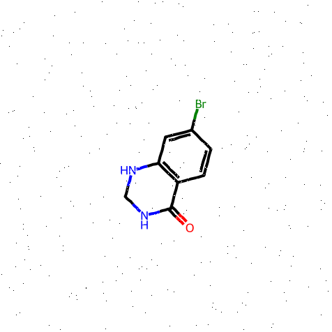 O=C1NCNc2cc(Br)ccc21